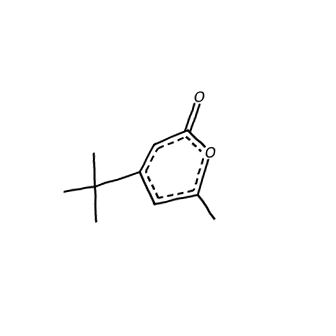 Cc1cc(C(C)(C)C)cc(=O)o1